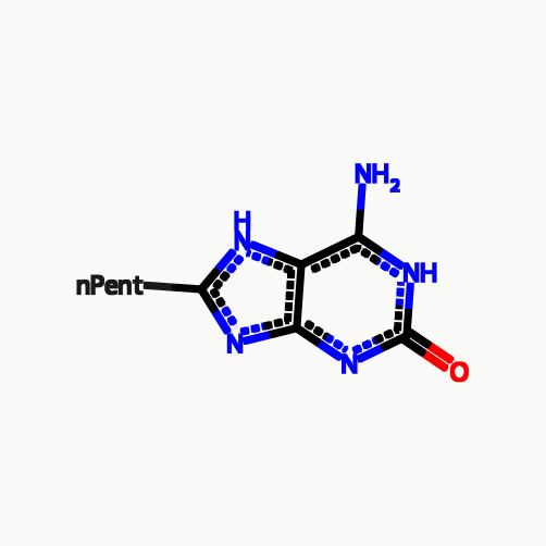 CCCCCc1nc2nc(=O)[nH]c(N)c2[nH]1